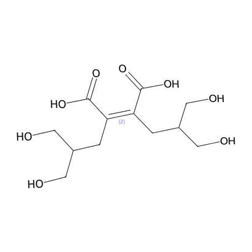 O=C(O)/C(CC(CO)CO)=C(/CC(CO)CO)C(=O)O